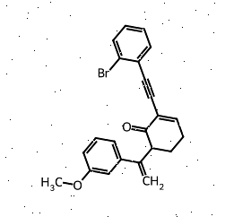 C=C(c1cccc(OC)c1)C1CCC=C(C#Cc2ccccc2Br)C1=O